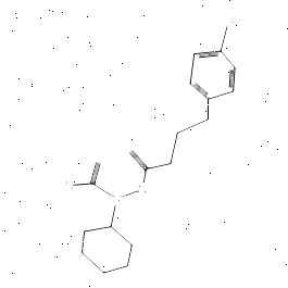 NC(=O)N(NC(=O)CCCc1ccc(Br)cc1)C1CCCCC1